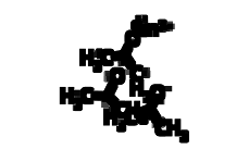 CC(C)[O-].CC(C)[O-].CC(C)[O-].[Sm+3]